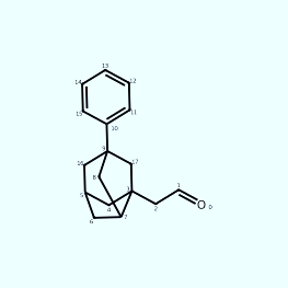 O=CCC12CC3CC1CC(c1ccccc1)(C3)C2